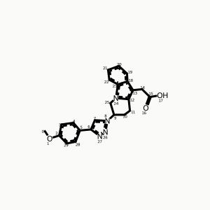 COc1ccc(-c2cn(C3CCc4c(CC(=O)O)c5ccccc5n4C3)nn2)cc1